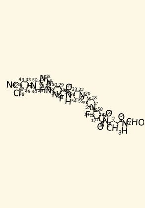 CC(CCC(=O)NC=O)N1C(=O)c2cc(F)c(N3CCC(CN4CCC(NC(=O)c5ccc(Nc6ncnc7c6CCN(c6ccc(C#N)c(Cl)c6)C7)nc5F)CC4)CC3)cc2C1=O